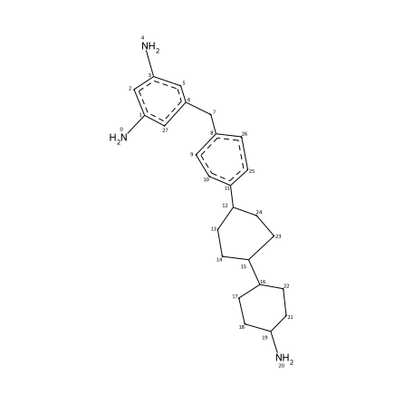 Nc1cc(N)cc(Cc2ccc(C3CCC(C4CCC(N)CC4)CC3)cc2)c1